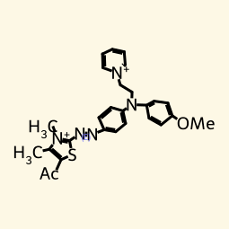 COc1ccc(N(CC[n+]2ccccc2)c2ccc(/N=N/c3sc(C(C)=O)c(C)[n+]3C)cc2)cc1